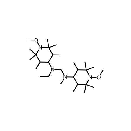 CCN(CN(C)C1C(C)C(C)(C)N(OC)C(C)(C)C1C)C1C(C)C(C)(C)N(OC)C(C)(C)C1C